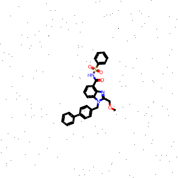 COCc1nc2c(C(=O)NS(=O)(=O)c3ccccc3)cccc2n1Cc1ccc(-c2ccccc2)cc1